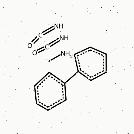 CN.N=C=O.N=C=O.c1ccc(-c2ccccc2)cc1